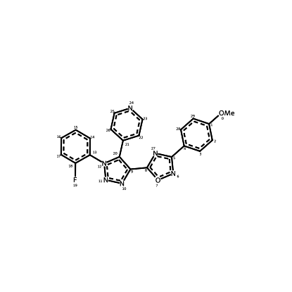 COc1ccc(-c2noc(-c3nnn(-c4ccccc4F)c3-c3ccncc3)n2)cc1